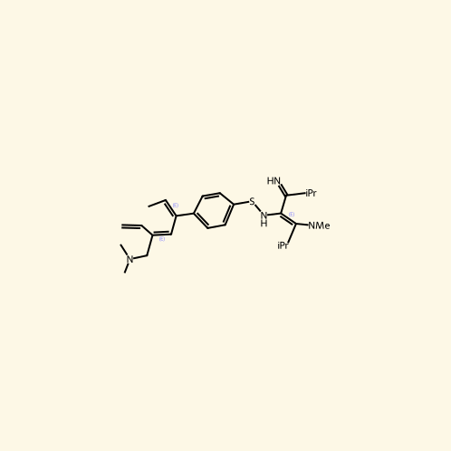 C=C/C(=C\C(=C/C)c1ccc(SN/C(C(=N)C(C)C)=C(/NC)C(C)C)cc1)CN(C)C